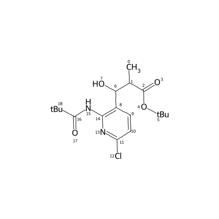 CC(C(=O)OC(C)(C)C)C(O)c1ccc(Cl)nc1NC(=O)C(C)(C)C